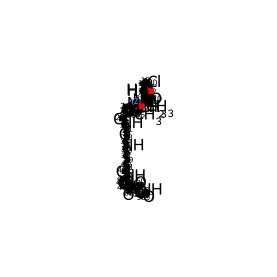 C=N/C(=N\C1=C(C)N(C)C(=O)[C@@H](CC)N1Cc1ccc(Cl)s1)Nc1ccc(C(=O)NCCOCCNCCCCCCC(=O)Nc2cccc3c2CN(C2CCC(=O)NC2=O)C3=O)cc1OC